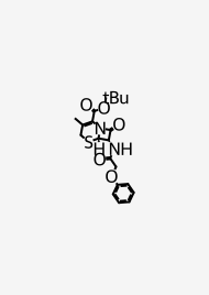 CC1=C(C(=O)OC(C)(C)C)N2C(=O)[C@H](NC(=O)COc3ccccc3)[C@@H]2SC1